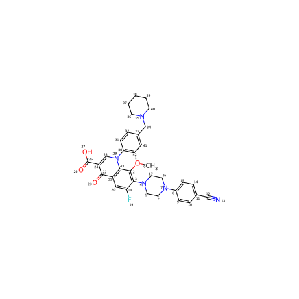 COc1c(N2CCN(c3ccc(C#N)cc3)CC2)c(F)cc2c(=O)c(C(=O)O)cn(-c3ccc(CN4CCCCC4)cc3)c12